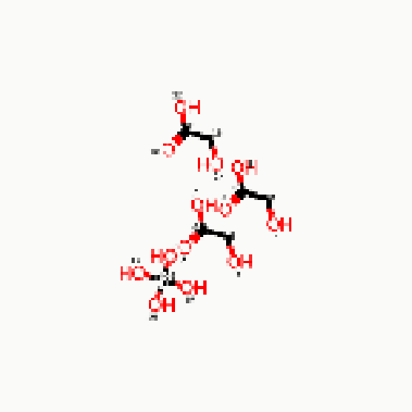 O=C(O)CO.O=C(O)CO.O=C(O)CO.O[Si](O)(O)O